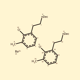 CCCCCCCCCCCCc1cccc(C)c1[O-].CCCCCCCCCCCCc1cccc(C)c1[O-].[Ba+2]